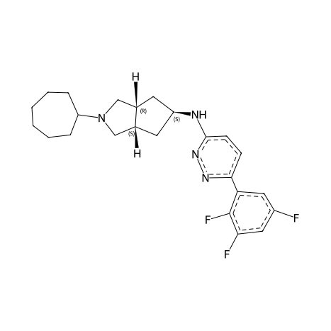 Fc1cc(F)c(F)c(-c2ccc(N[C@H]3C[C@@H]4CN(C5CCCCCC5)C[C@@H]4C3)nn2)c1